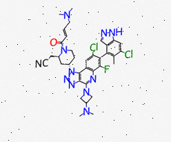 Cc1c(Cl)cc2[nH]ncc2c1-c1c(Cl)cc2c(nc(N3CC(N(C)C)C3)c3nnn([C@H]4CCN(C(=O)/C=C/CN(C)C)[C@H](CC#N)C4)c32)c1F